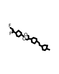 CC1CCC(CCC2CCC(C3COC(C4CCC(/C(F)=C/CF)CC4)OC3)CC2)CC1